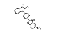 O=c1[nH]c2ccccc2n1-c1ccc(-c2nc3ccc(C(F)(F)F)cc3[nH]2)nc1